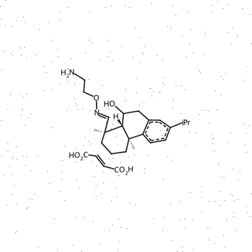 CC(C)c1ccc2c(c1)CC(O)[C@H]1[C@](C)(/C=N/OCCN)CCC[C@]21C.O=C(O)/C=C/C(=O)O